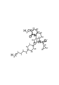 CCCCCC1CCC(OCC2C(N[S+]([O-])C3CC3)CCc3ccc(C)c(=O)n32)CC1